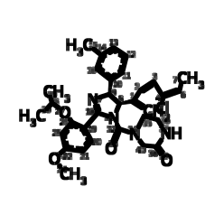 C=C(/C=C\C(Cl)=C/C)[C@@H]1[C@H](c2cccc(C)c2)N=C(c2ccc(OC)cc2OC(C)C)N1C(=O)N1CCNC(=O)C1